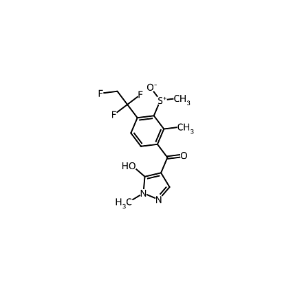 Cc1c(C(=O)c2cnn(C)c2O)ccc(C(F)(F)CF)c1[S+](C)[O-]